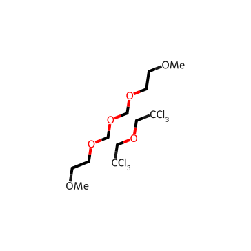 COCCOCOCOCCOC.ClC(Cl)(Cl)COCC(Cl)(Cl)Cl